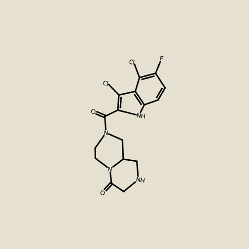 O=C(c1[nH]c2ccc(F)c(Cl)c2c1Cl)N1CCN2C(=O)CNCC2C1